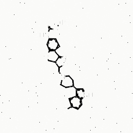 CC(C)(C)OC(=O)Nc1ccc2c(c1)OCC1C2=NOC1CN1CCC(c2c[nH]c3ccc(F)cc23)CC1